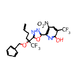 C=CCC[C@@](OCc1ccccc1)(c1nnc(-c2nc(O)c(C(F)(F)F)cc2[N+](=O)[O-])o1)C(F)(F)F